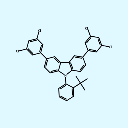 CC(C)(C)c1ccccc1-n1c2ccc(-c3cc(Cl)cc(Cl)c3)cc2c2cc(-c3cc(Cl)cc(Cl)c3)ccc21